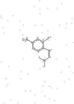 CN(C)/C=N\c1ccc([N+](=O)[O-])cc1F